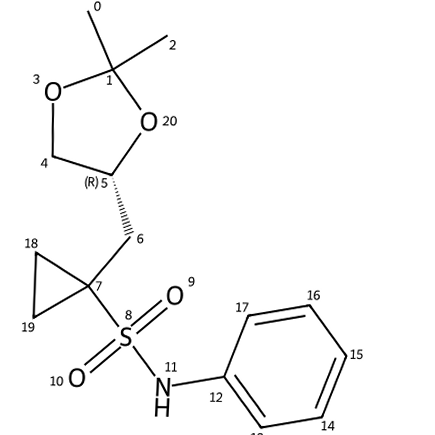 CC1(C)OC[C@@H](CC2(S(=O)(=O)Nc3ccccc3)CC2)O1